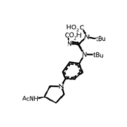 CC(=O)N[C@@H]1CCN(c2ccc(N(C(=NC(=O)O)N(C(=O)O)C(C)(C)C)C(C)(C)C)cc2)C1